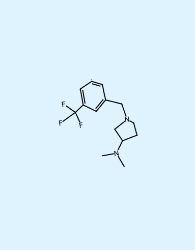 CN(C)C1CCN(Cc2c[c]cc(C(F)(F)F)c2)C1